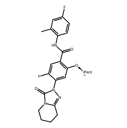 CCC[C@H](C)Oc1cc(-n2nc3n(c2=O)CCCC3)c(F)cc1C(=O)Nc1ccc(F)cc1C